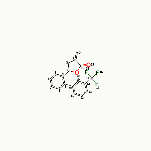 C=C1CC(c2ccccc2-c2cccc(C(F)(F)F)c2)OC1=O